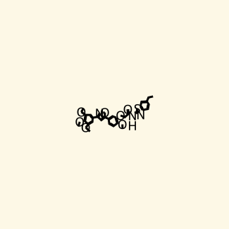 CCc1ccc2nc(NC(=O)COc3cc(-c4cc(-c5cc(OC)c(OC)c(OC)c5)no4)ccc3OC)sc2c1